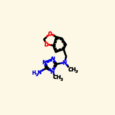 CN(Cc1ccc2c(c1)OCO2)c1nnc(N)n1C